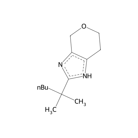 CCCCC(C)(C)c1nc2c([nH]1)CCOC2